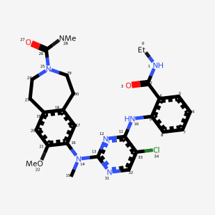 CCNC(=O)c1ccccc1Nc1nc(N(C)c2cc3c(cc2OC)CCN(C(=O)NC)CC3)ncc1Cl